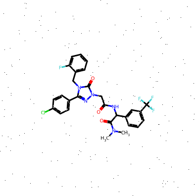 CN(C)C(=O)C(NC(=O)Cn1nc(-c2ccc(Cl)cc2)n(Cc2ccccc2F)c1=O)c1cccc(C(F)(F)F)c1